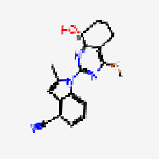 CSc1nc(-n2c(C)cc3c(C#N)cccc32)nc2c1CCC[C@@H]2O